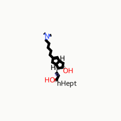 CCCCCCC[C@H](O)/C=C/[C@@H]1[C@H]2CC(CCCCCN(C)C)=C[C@H]2C[C@H]1O